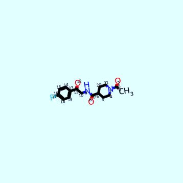 CC(=O)N1CCC(C(=O)NCC(=O)c2ccc(F)cc2)CC1